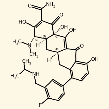 CC(C)NCc1cc(-c2ccc(O)c3c2C[C@H]2C[C@H]4[C@H](N(C)C)C(O)=C(C(N)=O)C(=O)[C@@]4(O)C(O)=C2C3=O)ccc1F